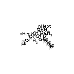 CCCCCCCc1ccc([I+]c2ccc(CCCCCCC)cc2)cc1.Cc1ccc([I+]c2ccc(C)cc2)cc1.Cc1ccc([I+]c2ccccc2)cc1.F[B-](F)(F)F.F[B-](F)(F)F.F[B-](F)(F)F.F[B-](F)(F)F.c1ccc([I+]c2ccccc2)cc1